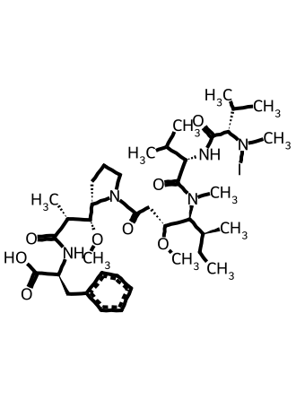 CC[C@H](C)[C@@H]([C@@H](CC(=O)N1CCC[C@H]1[C@H](OC)[C@@H](C)C(=O)N[C@@H](Cc1ccccc1)C(=O)O)OC)N(C)C(=O)[C@@H](NC(=O)[C@H](C(C)C)N(C)I)C(C)C